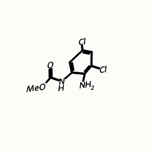 COC(=O)Nc1cc(Cl)cc(Cl)c1N